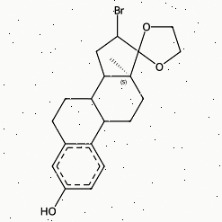 C[C@]12CCC3c4ccc(O)cc4CCC3C1CC(Br)C21OCCO1